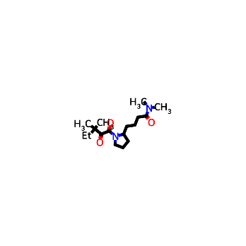 CCC(C)(C)C(=O)C(=O)N1CCCC1CCCC(=O)N(C)C